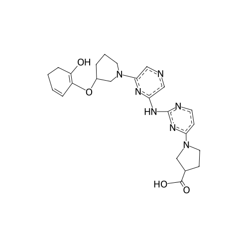 O=C(O)C1CCN(c2ccnc(Nc3cncc(N4CCCC(OC5=C(O)CCC=C5)C4)n3)n2)C1